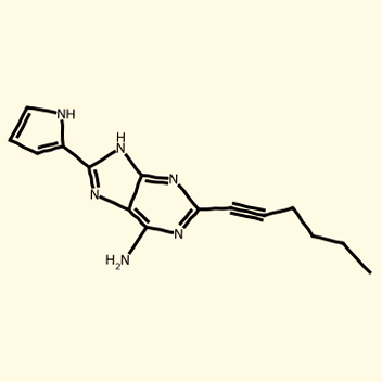 CCCCC#Cc1nc(N)c2nc(-c3ccc[nH]3)[nH]c2n1